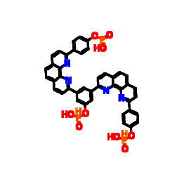 O=[PH](O)Oc1ccc(-c2ccc3ccc4ccc(-c5cc(O[PH](=O)O)cc(-c6ccc7ccc8ccc(-c9ccc(O[PH](=O)O)cc9)nc8c7n6)c5)nc4c3n2)cc1